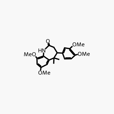 COc1cc(OC)c2c(c1)C(C)(C)C(c1ccc(OC)c(OC)c1)CC(=O)N2